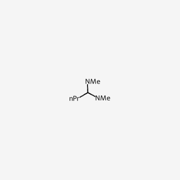 [CH2]CCC(NC)NC